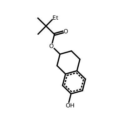 CCC(C)(C)C(=O)OC1CCc2ccc(O)cc2C1